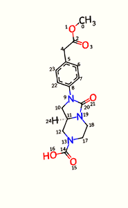 COC(=O)Cc1ccc(N2C[C@@H]3CN(C(=O)O)CCN3C2=O)cc1